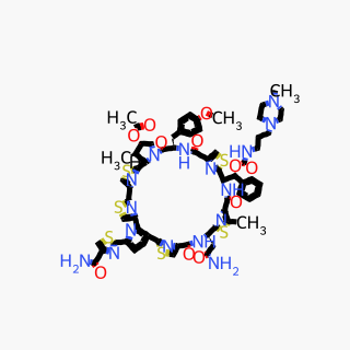 COc1ccc(C[C@@H]2NC(=O)c3csc(n3)[C@H]([C@H](OC(=O)NCCCN3CCN(C)CC3)c3ccccc3)NC(=O)c3nc(sc3C)[C@H](CC(N)=O)NC(=O)c3csc(n3)-c3ccc(-c4nc(C(N)=O)cs4)nc3-c3csc(n3)-c3csc(n3)[C@@H]3[C@@H](C)[C@@H](OC(C)=O)CN3C2=O)cc1